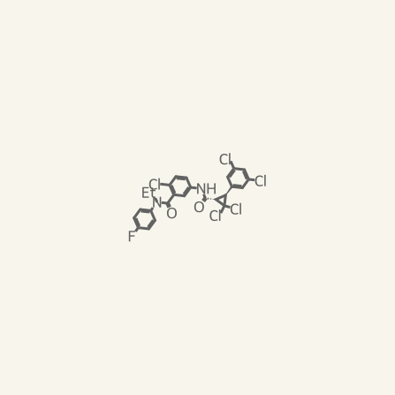 CCN(C(=O)c1cc(NC(=O)[C@@H]2[C@@H](c3cc(Cl)cc(Cl)c3)C2(Cl)Cl)ccc1Cl)c1ccc(F)cc1